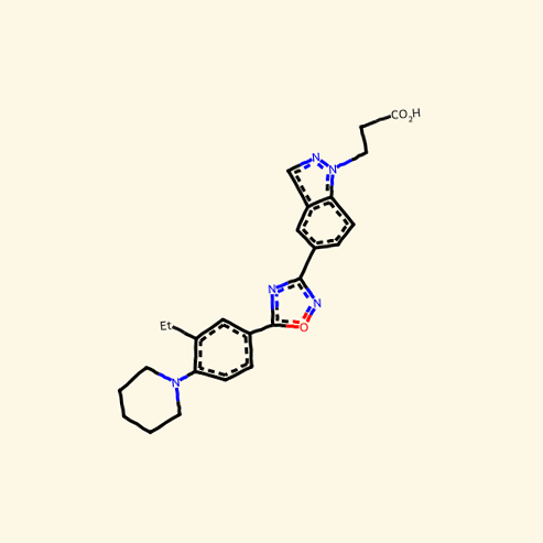 CCc1cc(-c2nc(-c3ccc4c(cnn4CCC(=O)O)c3)no2)ccc1N1CCCCC1